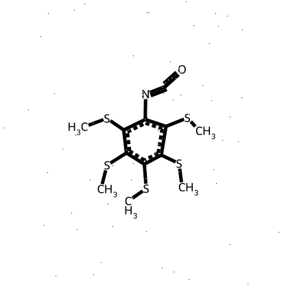 CSc1c(N=C=O)c(SC)c(SC)c(SC)c1SC